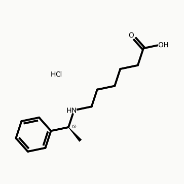 C[C@H](NCCCCCC(=O)O)c1ccccc1.Cl